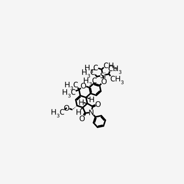 COC[C@@H]1C=C2[C@H](c3ccc(O[Si](C(C)C)(C(C)C)C(C)C)cc3OC2(C)C)[C@@H]2C(=O)N(c3ccccc3)C(=O)[C@@H]21